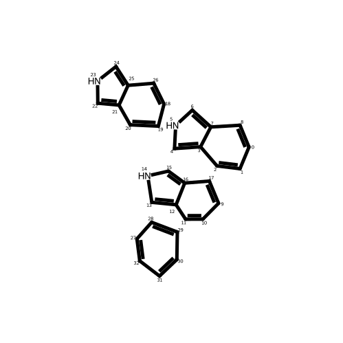 c1ccc2c[nH]cc2c1.c1ccc2c[nH]cc2c1.c1ccc2c[nH]cc2c1.c1ccccc1